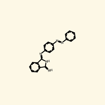 N=C1NC(=Nc2ccc(N=Nc3ccccc3)cc2)c2ccccc21